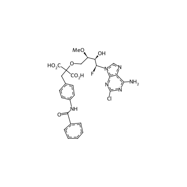 CO[C@H](COC(Cc1ccc(NC(=O)c2ccccc2)cc1)(C(=O)O)C(=O)O)[C@@H](O)[C@H](F)n1cnc2c(N)nc(Cl)nc21